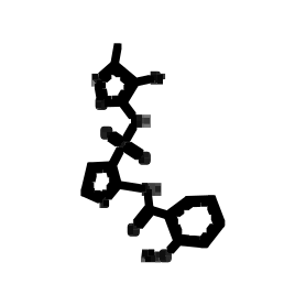 COc1ccccc1C(=O)Nc1sccc1S(=O)(=O)Nc1onc(C)c1Br